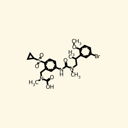 COc1ccc(Br)cc1C(C)CN(C)C(=O)Nc1ccc(S(=O)(=O)C2CC2)c(CN(C)C(=O)O)c1